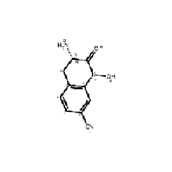 N#Cc1ccc2c(c1)N(O)C(=O)[C@@H](N)C2